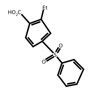 CCc1cc(S(=O)(=O)c2ccccc2)ccc1C(=O)O